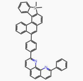 C[Si]1(C)c2ccccc2-c2c1ccc1cc(-c3ccc(-c4ccc5ccc6ccc(-c7ccccc7)nc6c5n4)cc3)c3ccccc3c21